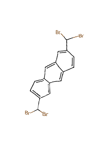 BrC(Br)c1ccc2cc3cc(C(Br)Br)ccc3cc2c1